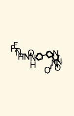 COCCn1c(=O)n(C)c2cnc3ccc(-c4ccc(NC(=O)NCCN5CC(F)(F)C5)cc4)cc3c21